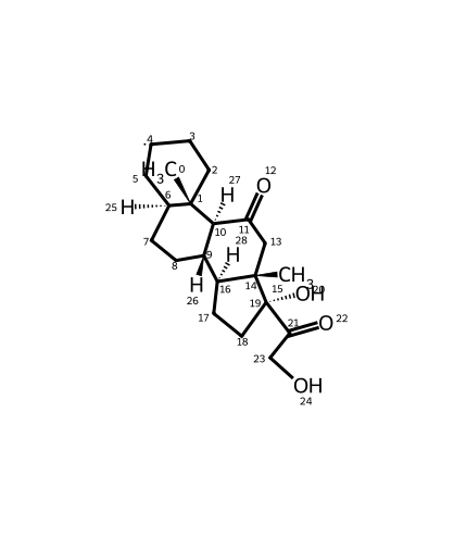 C[C@]12CC[CH]C[C@@H]1CC[C@@H]1[C@@H]2C(=O)C[C@@]2(C)[C@H]1CC[C@]2(O)C(=O)CO